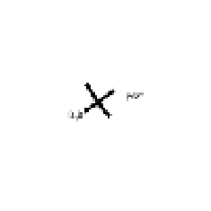 [BH3-]C(C)(C)C.[Na+]